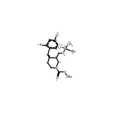 CC(C)(C)OC(=O)N1CCC(=Cc2ccc(Cl)cc2F)C(CO[Si](C)(C)C(C)(C)C)C1